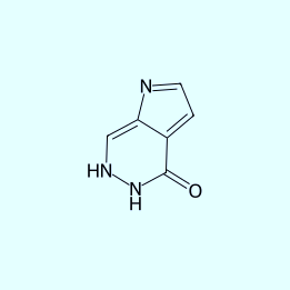 O=c1[nH][nH]cc2nccc1-2